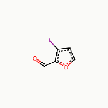 O=Cc1occc1I